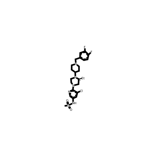 CC[C@H]1CN(c2ncc(NS(C)(=O)=O)cc2Cl)CCN1C1CCN(Cc2ccc(F)c(F)c2)CC1